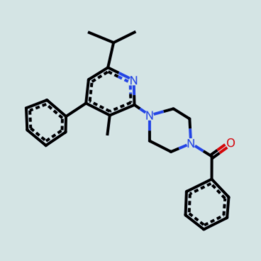 Cc1c(-c2ccccc2)cc(C(C)C)nc1N1CCN(C(=O)c2ccccc2)CC1